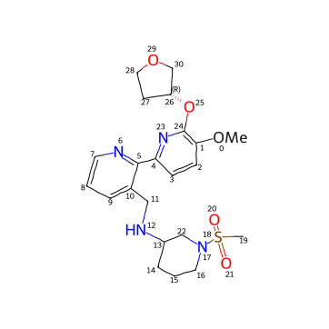 COc1ccc(-c2ncccc2CNC2CCCN(S(C)(=O)=O)C2)nc1O[C@@H]1CCOC1